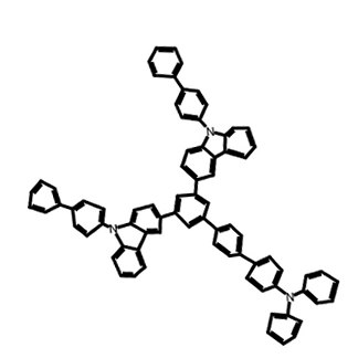 c1ccc(-c2ccc(-n3c4ccccc4c4cc(-c5cc(-c6ccc(-c7ccc(N(c8ccccc8)c8ccccc8)cc7)cc6)cc(-c6ccc7c(c6)c6ccccc6n7-c6ccc(-c7ccccc7)cc6)c5)ccc43)cc2)cc1